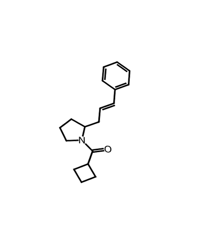 O=C(C1CCC1)N1CCCC1C/C=C/c1ccccc1